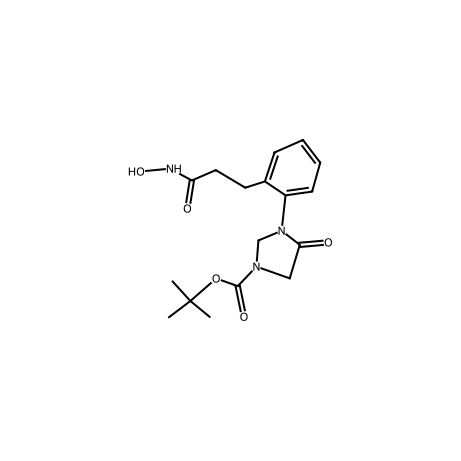 CC(C)(C)OC(=O)N1CC(=O)N(c2ccccc2CCC(=O)NO)C1